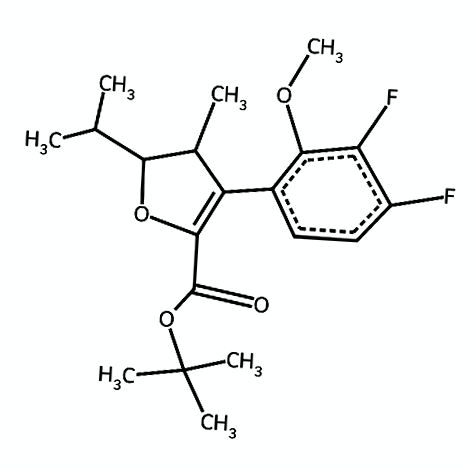 COc1c(C2=C(C(=O)OC(C)(C)C)OC(C(C)C)C2C)ccc(F)c1F